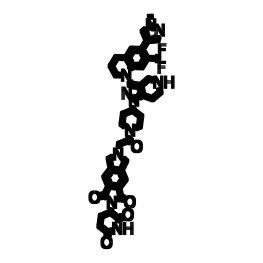 Cn1cc(-c2cc3c(cc2C(F)F)N(c2nn(C4CCN(C(=O)CN5Cc6cc7c(cc6C5)C(=O)N(C5CCC(=O)NC5=O)C7=O)CC4)c4c2CNCC4)CCC3)cn1